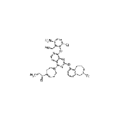 C=CC(=O)C1=CCCN(c2nc(Oc3cccc4c3CCC=C(CC)C4)nc3c(Oc4c(Cl)ccc(N)c4C=N)nccc23)CC1